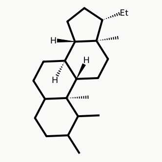 CC[C@H]1CC[C@H]2[C@@H]3CCC4CCC(C)C(C)[C@]4(C)[C@H]3CC[C@]12C